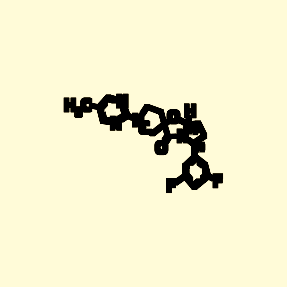 Cc1cnc(N2CCC3(CC2)O[C@@H]2CC[C@@H](c4cc(F)cc(F)c4)N2C3=O)nc1